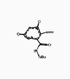 CCCCNC(=O)c1cc(Cl)cc(Cl)c1NC